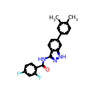 Cc1ccc(-c2ccc3c(NC(=O)c4ccc(F)cc4F)n[nH]c3c2)cc1C